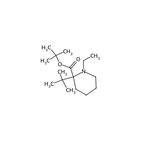 CCN1CCCCC1(C(=O)OC(C)(C)C)C(C)(C)C